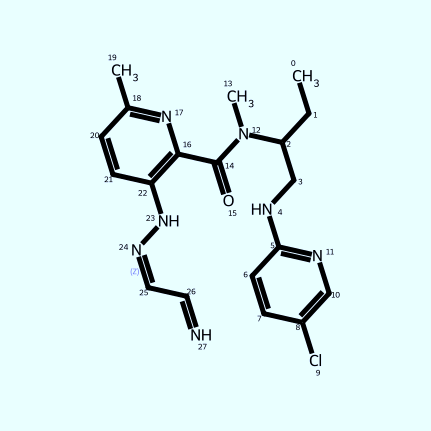 CCC(CNc1ccc(Cl)cn1)N(C)C(=O)c1nc(C)ccc1N/N=C\C=N